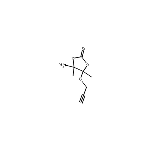 C#CCOC1(C)OC(=O)OC1(C)N